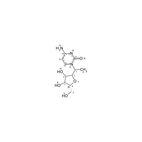 CC(C1O[C@H](CO)C(O)C1O)n1ccc(N)nc1=O